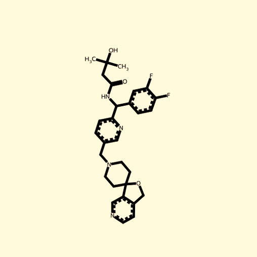 CC(C)(O)CC(=O)NC(c1ccc(F)c(F)c1)c1ccc(CN2CCC3(CC2)OCc2ccncc23)cn1